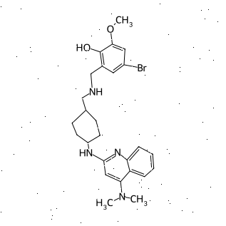 COc1cc(Br)cc(CNCC2CCC(Nc3cc(N(C)C)c4ccccc4n3)CC2)c1O